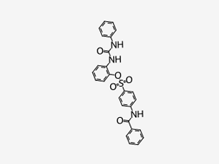 O=C(Nc1ccccc1)Nc1ccccc1OS(=O)(=O)c1ccc(NC(=O)c2ccccc2)cc1